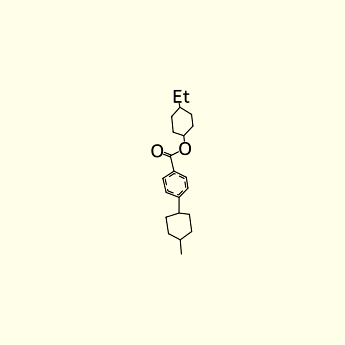 CCC1CCC(OC(=O)c2ccc(C3CCC(C)CC3)cc2)CC1